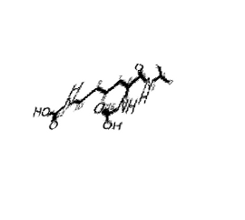 CC(C)NC(=O)C(CCCCNC(=O)O)NC(=O)O